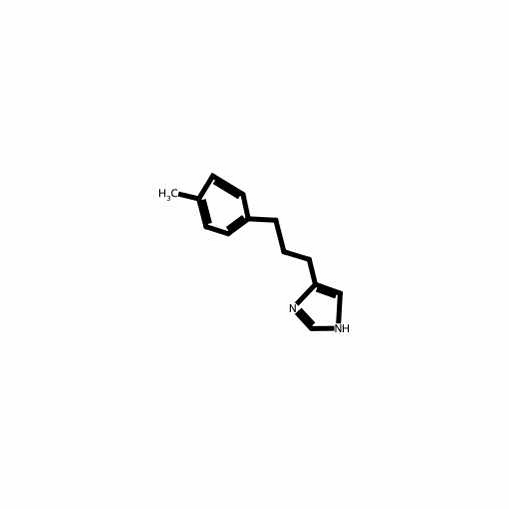 Cc1ccc(CCCc2c[nH]cn2)cc1